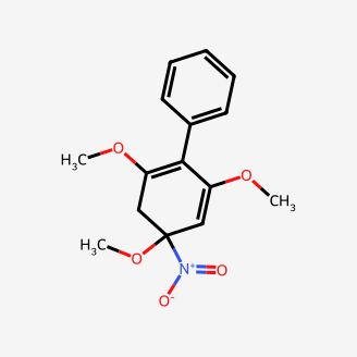 COC1=CC(OC)([N+](=O)[O-])CC(OC)=C1c1ccccc1